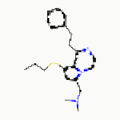 CCCSc1cc(CN(C)C)n2ccnc(CCc3ccccc3)c12